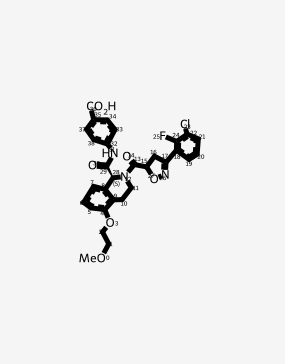 COCCOc1cccc2c1CCN(C(=O)C1CC(c3cccc(Cl)c3F)=NO1)[C@@H]2C(=O)Nc1ccc(C(=O)O)cc1